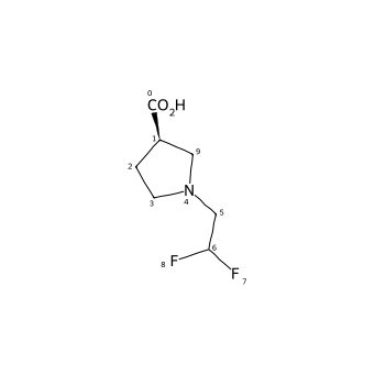 O=C(O)[C@@H]1CCN(CC(F)F)C1